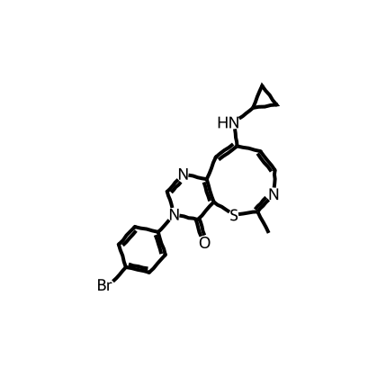 Cc1nccc(NC2CC2)cc2ncn(-c3ccc(Br)cc3)c(=O)c2s1